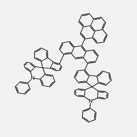 c1ccc(N2c3ccccc3C3(c4ccccc4-c4c(-c5cccc6c(-c7cc8cccc9ccc%10cccc7c%10c98)c7cccc(-c8cccc9c8-c8ccccc8C98c9ccccc9N(c9ccccc9)c9ccccc98)c7cc56)cccc43)c3ccccc32)cc1